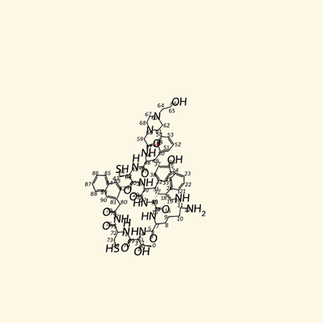 C[C@@H](O)[C@H](NC(=O)C(CCCCN)NC(=O)[C@@H](Cc1c[nH]c2ccccc12)NC(=O)C(Cc1ccc(O)cc1)NC(=O)[C@@H](CS)NC(=O)C(Cc1ccccc1)NC(=O)CN1CCN(CCO)CC1)C(=O)NC(CS)C(=O)NC(=O)Cc1ccc2ccccc2c1